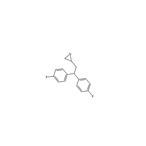 Fc1ccc(C(CC2CO2)c2ccc(F)cc2)cc1